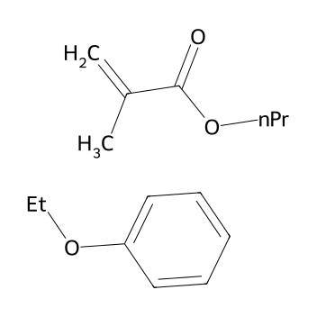 C=C(C)C(=O)OCCC.CCOc1ccccc1